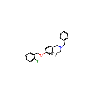 O=C(O)CN(Cc1ccccc1)Cc1ccc(OCc2ccccc2F)cc1